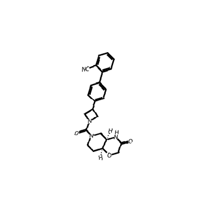 N#Cc1ccccc1-c1ccc(C2CN(C(=O)N3CC[C@@H]4OCC(=O)N[C@@H]4C3)C2)cc1